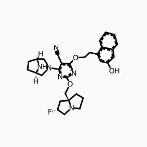 N#Cc1c(OCCc2cc(O)cc3ccccc23)nc(OC[C@@]23CCCN2C[C@H](F)C3)nc1N1C[C@H]2CC[C@@H](C1)N2